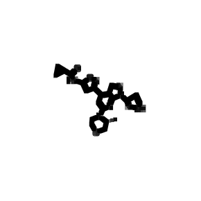 C[C@@H]1COCCN1c1cc(-c2cc(NC(=O)C3CC3)on2)c2cnn(-c3cc[nH]n3)c2n1